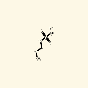 COCOS(=O)(=O)O.[LiH]